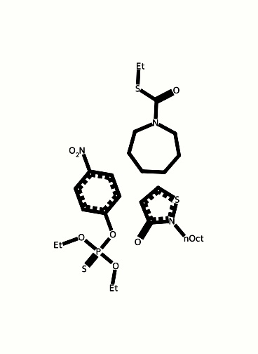 CCCCCCCCn1sccc1=O.CCOP(=S)(OCC)Oc1ccc([N+](=O)[O-])cc1.CCSC(=O)N1CCCCCC1